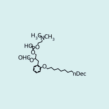 CCCCCCCCCCCCCCCCCCOc1ccccc1CC(COP(O)OCCN(C)C)OC=O